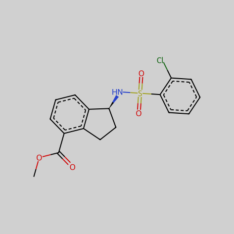 COC(=O)c1cccc2c1CC[C@@H]2NS(=O)(=O)c1ccccc1Cl